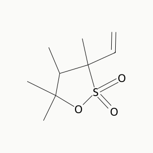 C=CC1(C)C(C)C(C)(C)OS1(=O)=O